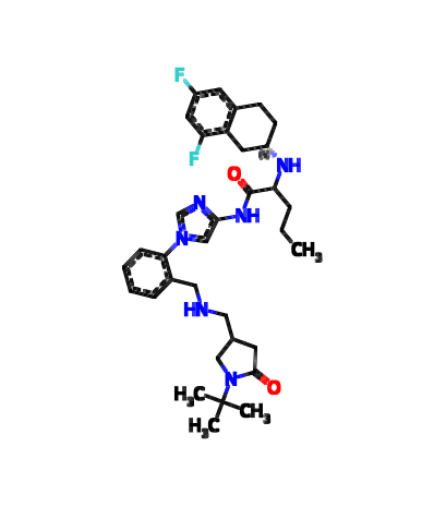 CCCC(N[C@H]1CCc2cc(F)cc(F)c2C1)C(=O)Nc1cn(-c2ccccc2CNCC2CC(=O)N(C(C)(C)C)C2)cn1